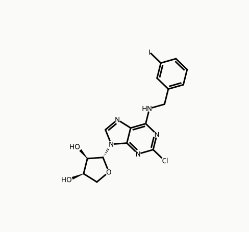 O[C@@H]1[C@H](O)CO[C@H]1n1cnc2c(NCc3cccc(I)c3)nc(Cl)nc21